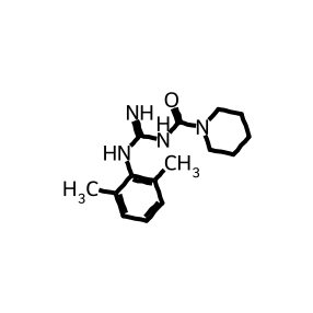 Cc1cccc(C)c1NC(=N)NC(=O)N1CCCCC1